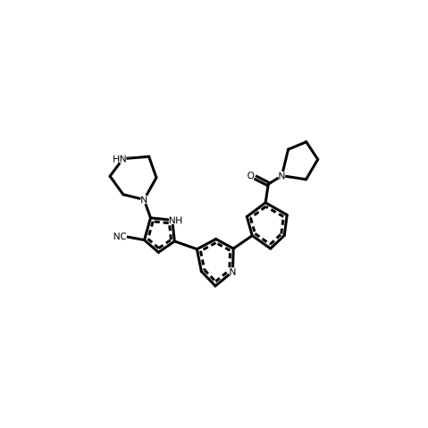 N#Cc1cc(-c2ccnc(-c3cccc(C(=O)N4CCCC4)c3)c2)[nH]c1N1CCNCC1